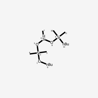 CCCCO[Si](C)(C)O[SiH](C)O[Si](C)(C)CCCC